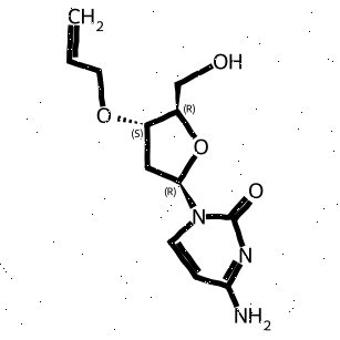 C=CCO[C@H]1C[C@H](n2ccc(N)nc2=O)O[C@@H]1CO